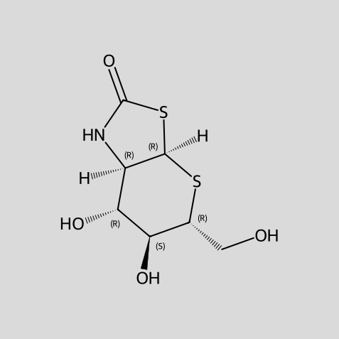 O=C1N[C@H]2[C@@H](S1)S[C@H](CO)[C@@H](O)[C@@H]2O